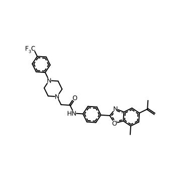 C=C(C)c1cc(C)c2oc(-c3ccc(NC(=O)CN4CCN(c5ccc(C(F)(F)F)cc5)CC4)cc3)nc2c1